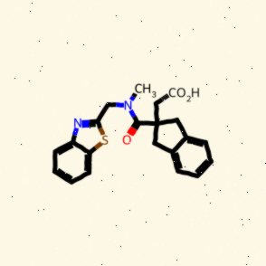 CN(Cc1nc2ccccc2s1)C(=O)C1(CC(=O)O)Cc2ccccc2C1